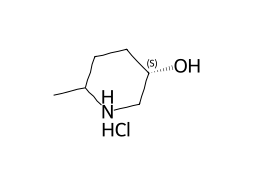 CC1CC[C@H](O)CN1.Cl